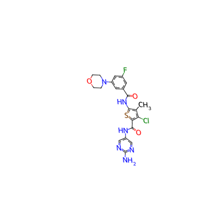 Cc1c(NC(=O)c2cc(F)cc(N3CCOCC3)c2)sc(C(=O)Nc2cnc(N)nc2)c1Cl